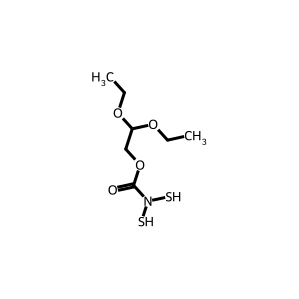 CCOC(COC(=O)N(S)S)OCC